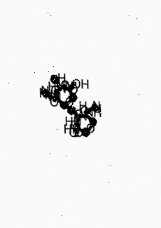 Cn1cc(CNC(=O)[C@@H]2Cc3ccc(-c4ccc(CC[C@@H]5NC(=O)[C@@H](NS(C)(=O)=O)Cc6cccc(c6)Oc6cccc(c6)C[C@@H](C(=O)NCc6cnn(C)c6)NC5=O)cc4)c(c3)Oc3cccc(c3)C[C@H](NC(=O)CO)C(=O)N[C@@H](CCc3ccccc3)C(=O)N2)cn1